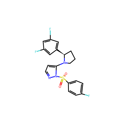 O=S(=O)(c1ccc(F)cc1)n1nccc1N1CCC[C@@H]1c1cc(F)cc(F)c1